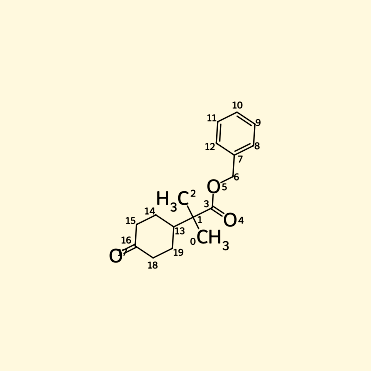 CC(C)(C(=O)OCc1ccccc1)C1CCC(=O)CC1